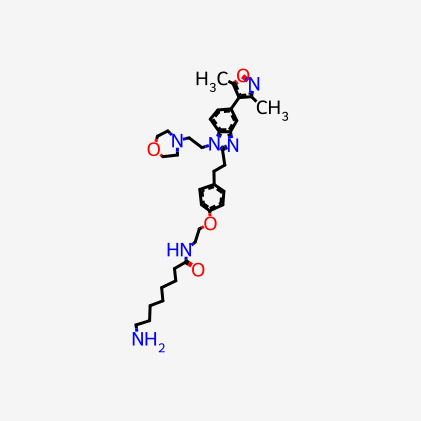 Cc1noc(C)c1-c1ccc2c(c1)nc(CCc1ccc(OCCNC(=O)CCCCCCCN)cc1)n2CCN1CCOCC1